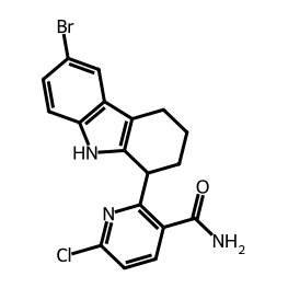 NC(=O)c1ccc(Cl)nc1C1CCCc2c1[nH]c1ccc(Br)cc21